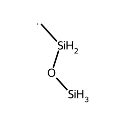 [CH2][SiH2]O[SiH3]